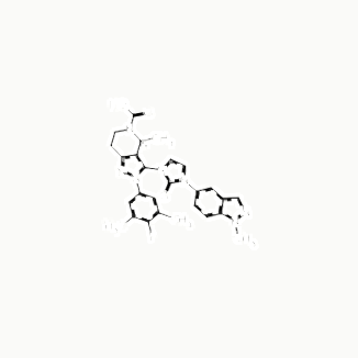 Cc1cc(-n2nc3c(c2-n2ccn(-c4ccc5c(cnn5C)c4)c2=O)[C@H](C)N(C(=O)O)CC3)cc(C)c1F